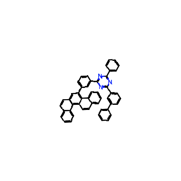 c1ccc(-c2cccc(-c3nc(-c4ccccc4)nc(-c4cccc(-c5cc6ccc7ccccc7c6c6ccc7ccccc7c56)c4)n3)c2)cc1